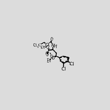 CCOP(=O)(OCC)C(CC(=O)c1ccc(Cl)c(Cl)c1)NC(=O)OCC(Cl)(Cl)Cl